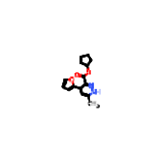 CC1=CC(c2ccco2)C(C(=O)OC2CCCC2)=NN1